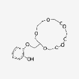 Oc1ccccc1OCC1COCCOCCOCCOCCO1